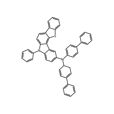 C1=CC(N(c2ccc(-c3ccccc3)cc2)c2ccc3c(c2)c2c4sc5ccccc5c4ccc2n3-c2ccccc2)CC=C1c1ccccc1